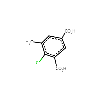 Cc1cc(C(=O)O)cc(C(=O)O)c1Cl